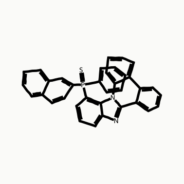 S=P(c1ccccc1)(c1ccc2ccccc2c1)c1cccc2nc3c4ccccc4c4ccccc4n3c12